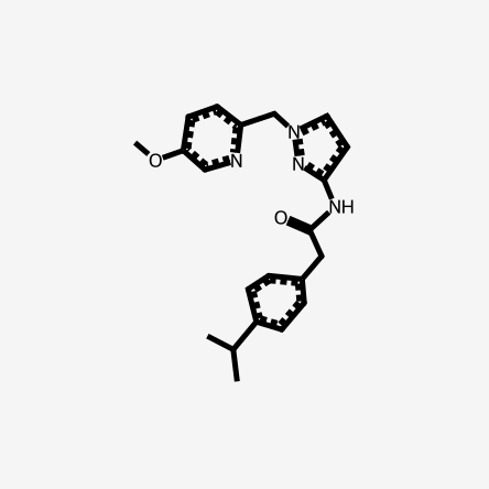 COc1ccc(Cn2ccc(NC(=O)Cc3ccc(C(C)C)cc3)n2)nc1